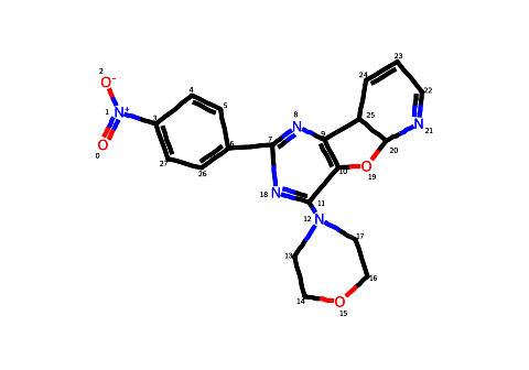 O=[N+]([O-])c1ccc(-c2nc3c(c(N4CCOCC4)n2)OC2N=CC=CC32)cc1